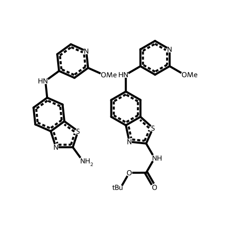 COc1cc(Nc2ccc3nc(N)sc3c2)ccn1.COc1cc(Nc2ccc3nc(NC(=O)OC(C)(C)C)sc3c2)ccn1